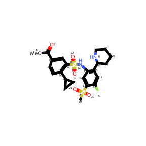 COC(=O)c1ccc(C2CC2)c(S(=O)(=O)Nc2cc(S(C)(=O)=O)c(F)cc2C2CCCCN2)c1